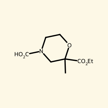 CCOC(=O)C1(C)CN(C(=O)O)CCO1